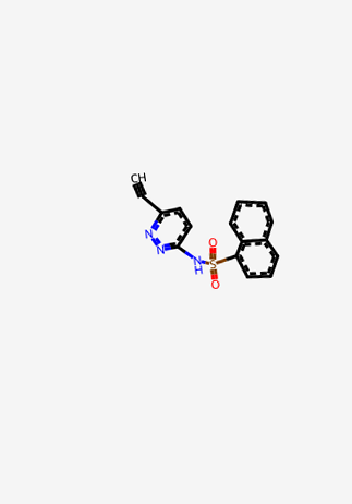 C#Cc1ccc(NS(=O)(=O)c2cccc3ccccc23)nn1